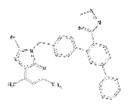 CCc1nc2c(C)cc(C)nc2n1Cc1ccc(-c2cc(-c3ccccc3)ccc2C2=NCN=N2)cc1